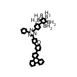 Bc1c(B)c(B)c(-c2ccc(-c3nc(-c4ccccc4)nc(-c4ccc5c(c4)oc4ccc(-c6ccc7c8ccccc8c8ccccc8c7c6)cc45)n3)cc2)c(B)c1B